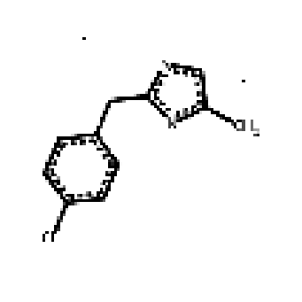 Cc1csc(Cc2ccc(Cl)cc2)n1